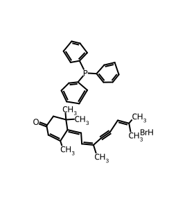 Br.CC(C)=CC#CC(C)=CC=C1C(C)=CC(=O)CC1(C)C.c1ccc(P(c2ccccc2)c2ccccc2)cc1